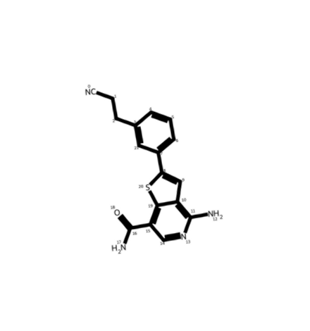 N#CCCc1cccc(-c2cc3c(N)ncc(C(N)=O)c3s2)c1